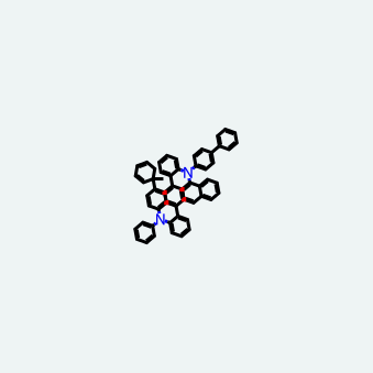 CC1(c2ccc(N(c3ccccc3)c3ccccc3-c3ccc(-c4ccccc4N(c4ccc(-c5ccccc5)cc4)c4cccc5ccccc45)cc3)cc2)C=CC=CC1